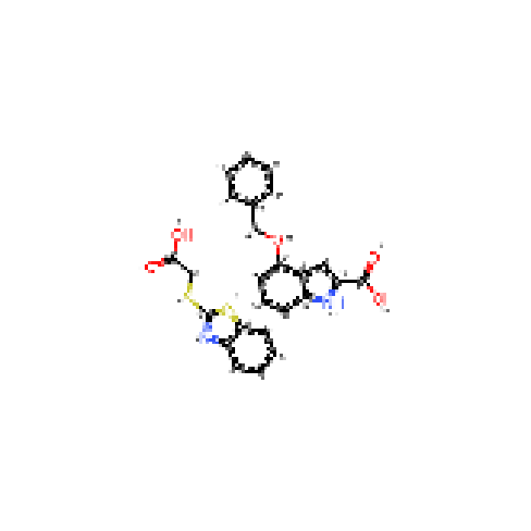 O=C(O)CSc1nc2ccccc2s1.O=C(O)c1cc2c(OCc3ccccc3)cccc2[nH]1